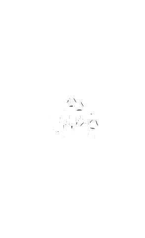 COc1cccc(OC)c1-c1cc(C(=O)NC(CC(=O)O)CC(C)C)nn1Cc1ccc2ccccc2c1